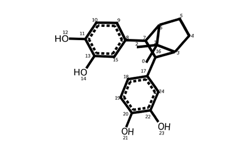 CC1(C)C2CCC1C(c1ccc(O)c(O)c1)C2c1ccc(O)c(O)c1